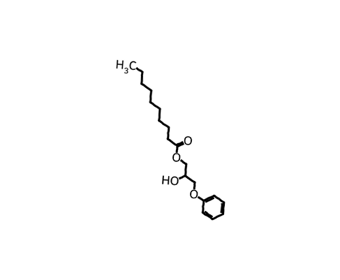 CCCCCCCCCC(=O)OCC(O)COc1ccccc1